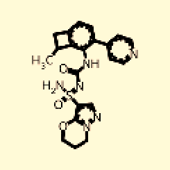 CC1Cc2ccc(-c3ccncc3)c(NC(=O)N=S(N)(=O)c3cnn4c3OCCC4)c21